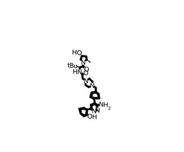 C[C@@H]1C[C@@H](O)CN1C(=O)[C@@H](NC(=O)CN1CCN(Cc2ccc(-c3cc(-c4ccccc4O)nnc3N)cc2)CC1)C(C)(C)C